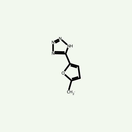 [CH2]c1ccc(-c2nnn[nH]2)o1